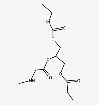 CCNC(=O)OCC(COC(=O)CC)OC(=O)CNC